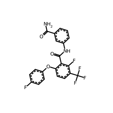 NC(=O)c1cccc(NC(=O)c2c(Oc3ccc(F)cc3)ccc(C(F)(F)F)c2F)c1